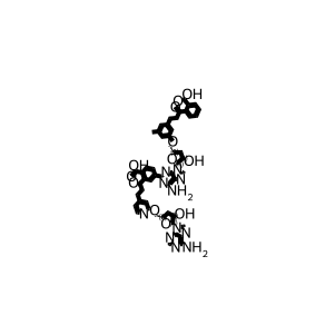 Cc1cc(CCC(=O)c2ccccc2C(=O)O)cc(OC[C@@H]2C[C@@H](O)[C@H](n3cnc4c(N)nc(-c5ccc(C(=O)O)c(C(=O)CCc6ccnc(OC[C@@H]7C[C@@H](O)[C@H](n8cnc9c(N)ncnc98)O7)c6)c5)nc43)O2)c1